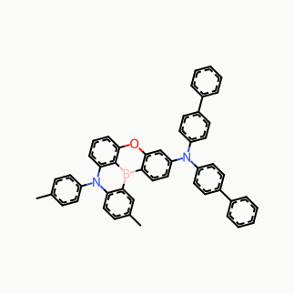 Cc1ccc(N2c3ccc(C)cc3B3c4ccc(N(c5ccc(-c6ccccc6)cc5)c5ccc(-c6ccccc6)cc5)cc4Oc4cccc2c43)cc1